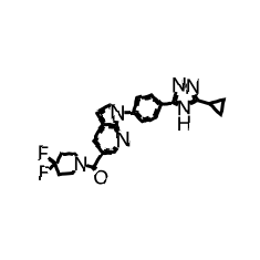 O=C(c1cnc2c(ccn2-c2ccc(-c3nnc(C4CC4)[nH]3)cc2)c1)N1CCC(F)(F)CC1